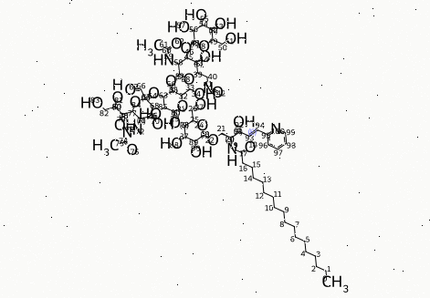 CCCCCCCCCCCCCCCCCC(=O)N[C@@H](CO[C@@H]1OC(CO)[C@@H](O[C@@H]2OC(CO)[C@H](O[C@@H]3OC(CN=O)[C@H](O)C(O[C@@H]4OC(CO)[C@H](O)C(O)C4O)C3NC(C)=O)C(O[C@]3(C=O)CC(O)[C@@H](N=NC(C)=O)C([C@H](O)[C@H](O)CO)O3)C2O)C(O)C1O)[C@H](O)/C=C/c1ccccn1